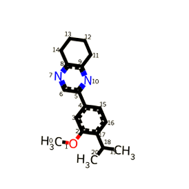 COc1cc(-c2cnc3c(n2)CCCC3)ccc1C(C)C